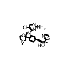 CN1CCOC2(C1)CN(c1nc(N)ncc1Cl)c1cc(C#C[C@@](C)(O)c3nccs3)ccc12